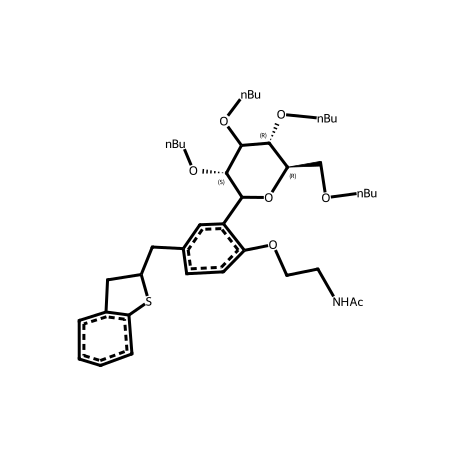 CCCCOC[C@H]1OC(c2cc(CC3Cc4ccccc4S3)ccc2OCCNC(C)=O)[C@H](OCCCC)C(OCCCC)[C@@H]1OCCCC